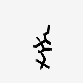 CCOC(=O)[C@](C)(O)C(=O)NCC(F)(F)F